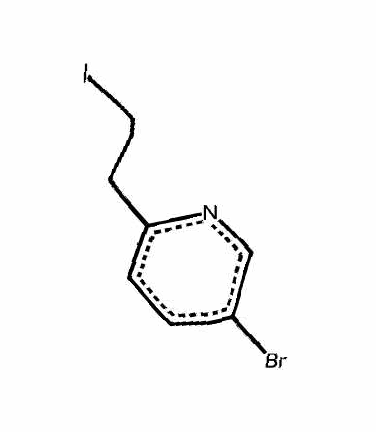 Brc1ccc(CCI)nc1